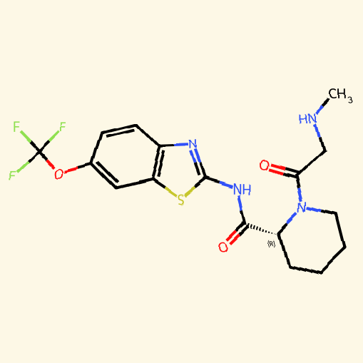 CNCC(=O)N1CCCC[C@@H]1C(=O)Nc1nc2ccc(OC(F)(F)F)cc2s1